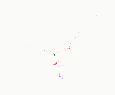 CCCCCCCCCCCCCC(=O)OCC(COP(=O)(O)OCC[N+](C)(C)C)OC(=O)CCCCCCCCCCC